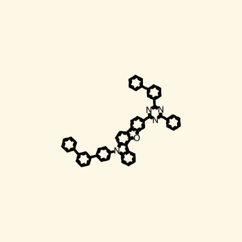 c1ccc(-c2cccc(-c3ccc(-n4c5ccccc5c5c6oc7cc(-c8nc(-c9ccccc9)nc(-c9cccc(-c%10ccccc%10)c9)n8)ccc7c6ccc54)cc3)c2)cc1